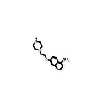 Nc1ccnc2cc(OCCN3CCNCC3)ccc12